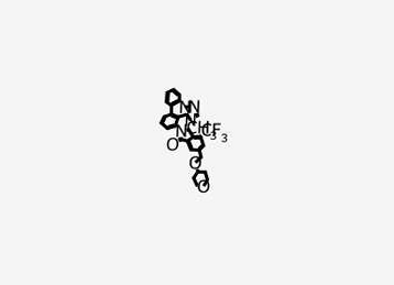 Cn1cnnc1-c1c(-c2ccccc2)cccc1N1Cc2c(cc(COC3CCOCC3)cc2C(F)(F)F)C1=O